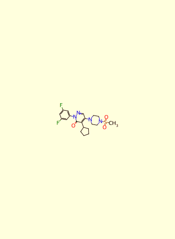 CS(=O)(=O)N1CCN(c2cnn(-c3cc(F)cc(F)c3)c(=O)c2C2CCCC2)CC1